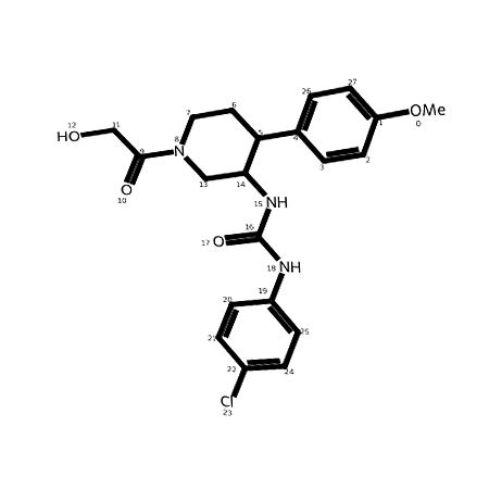 COc1ccc(C2CCN(C(=O)CO)CC2NC(=O)Nc2ccc(Cl)cc2)cc1